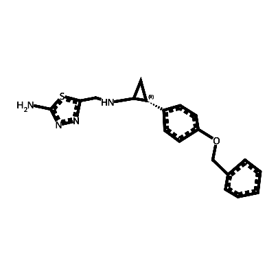 Nc1nnc(CNC2C[C@@H]2c2ccc(OCc3ccccc3)cc2)s1